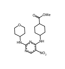 COC(=O)C1CCC(Nc2nc(NC3CCOCC3)ncc2[N+](=O)[O-])CC1